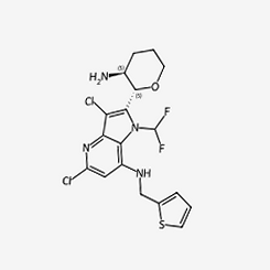 N[C@H]1CCCO[C@@H]1c1c(Cl)c2nc(Cl)cc(NCc3cccs3)c2n1C(F)F